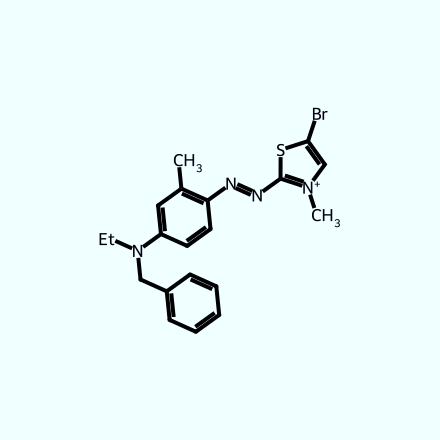 CCN(Cc1ccccc1)c1ccc(N=Nc2sc(Br)c[n+]2C)c(C)c1